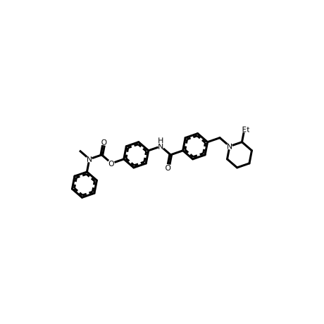 CCC1CCCCN1Cc1ccc(C(=O)Nc2ccc(OC(=O)N(C)c3ccccc3)cc2)cc1